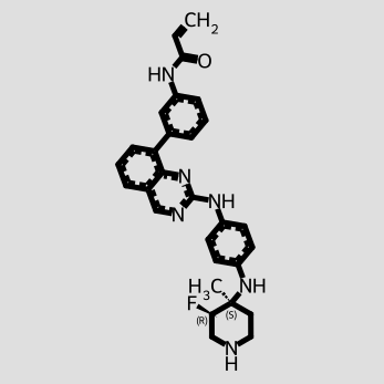 C=CC(=O)Nc1cccc(-c2cccc3cnc(Nc4ccc(N[C@@]5(C)CCNC[C@H]5F)cc4)nc23)c1